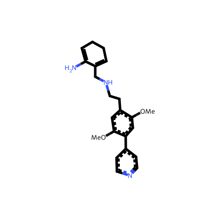 COc1cc(-c2ccncc2)c(OC)cc1CCNCC1=CCCC=C1N